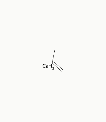 C=CC.[CaH2]